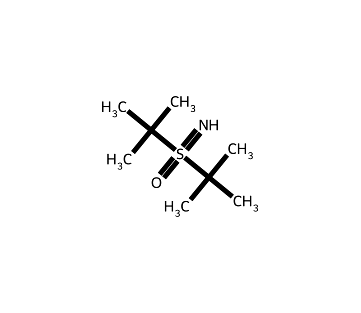 CC(C)(C)S(=N)(=O)C(C)(C)C